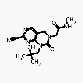 CNC(=O)CN1Cc2cnc(C#N)nc2N(CC(C)(C)C)C1=O